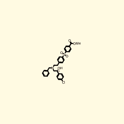 COC(=O)c1ccc(S(=O)(=O)c2ccc(CCN(Cc3ccccc3)C[C@@H](O)c3ccc(Cl)cc3)cc2)cc1